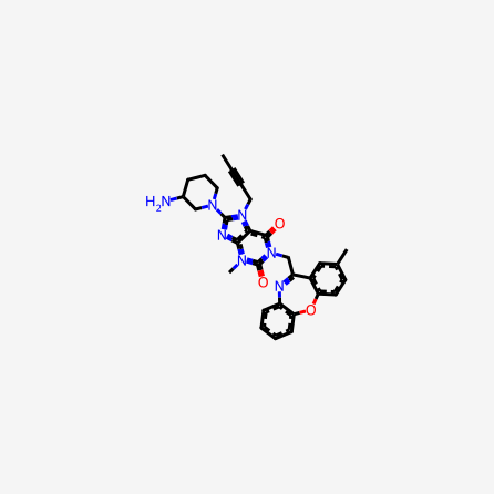 CC#CCn1c(N2CCCC(N)C2)nc2c1c(=O)n(CC1=Nc3ccccc3Oc3ccc(C)cc31)c(=O)n2C